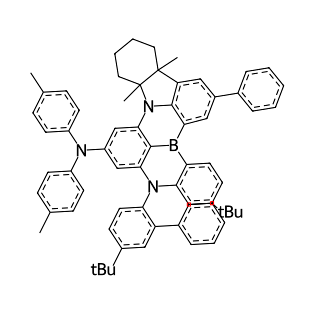 Cc1ccc(N(c2ccc(C)cc2)c2cc3c4c(c2)N2c5c(cc(-c6ccccc6)cc5C5(C)CCCCC25C)B4c2ccc(C(C)(C)C)cc2N3c2ccc(C(C)(C)C)cc2-c2ccccc2)cc1